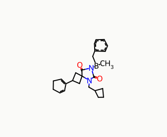 CB(Cc1ccccc1)N1C(=O)N(CC2CCC2)C2(CC(C3=CCCC=C3)C2)C1=O